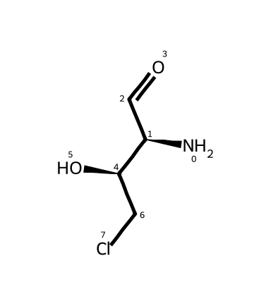 N[C@H](C=O)[C@H](O)CCl